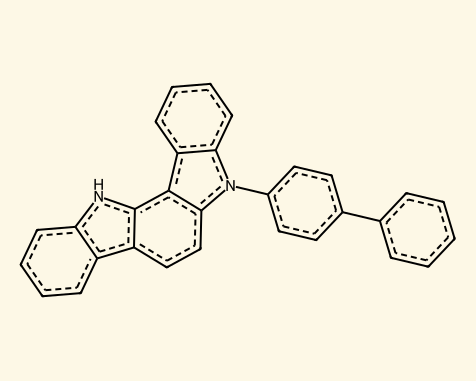 c1ccc(-c2ccc(-n3c4ccccc4c4c5[nH]c6ccccc6c5ccc43)cc2)cc1